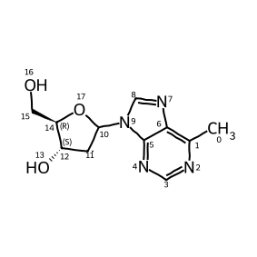 Cc1ncnc2c1ncn2C1[CH][C@H](O)[C@@H](CO)O1